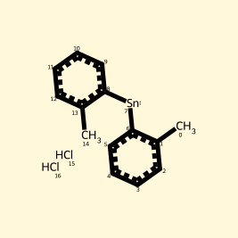 Cc1cccc[c]1[Sn][c]1ccccc1C.Cl.Cl